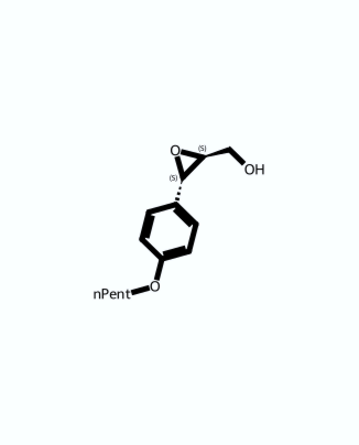 CCCCCOc1ccc([C@@H]2O[C@H]2CO)cc1